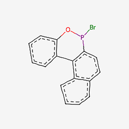 BrP1Oc2ccccc2-c2c1ccc1ccccc21